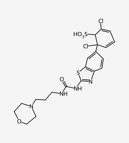 O=C(NCCCN1CCOCC1)Nc1nc2ccc(C3(Cl)C=CC=C(Cl)C3S(=O)(=O)O)cc2s1